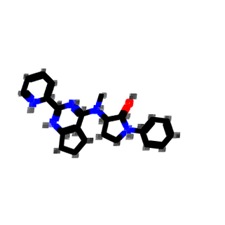 CN(c1nc(-c2ccccn2)nc2c1CCC2)C1CCN(c2ccccc2)C1=O